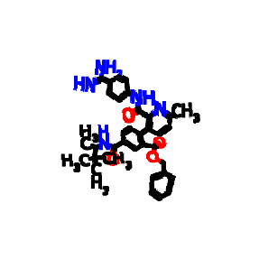 Cc1ccc(-c2ccc(C(=O)NC(C)C(C)(C)C)cc2C(=O)OCc2ccccc2)c(C(=O)Nc2ccc(C(=N)N)cc2)n1